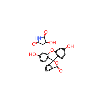 O=C1CC(O)C(=O)N1.O=C1OC2(c3ccc(O)cc3Oc3cc(O)ccc32)c2ccccc21